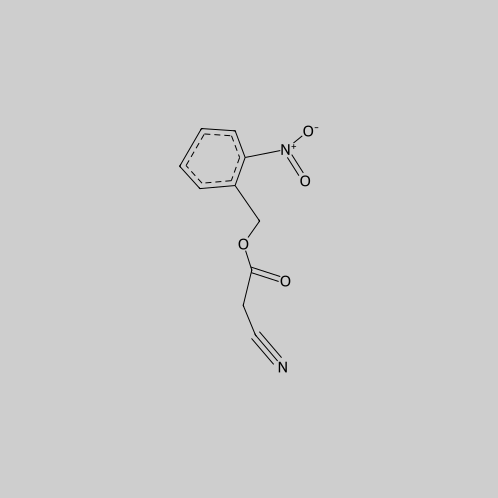 N#CCC(=O)OCc1ccccc1[N+](=O)[O-]